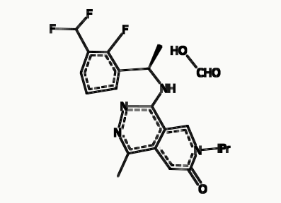 Cc1nnc(N[C@H](C)c2cccc(C(F)F)c2F)c2cn(C(C)C)c(=O)cc12.O=CO